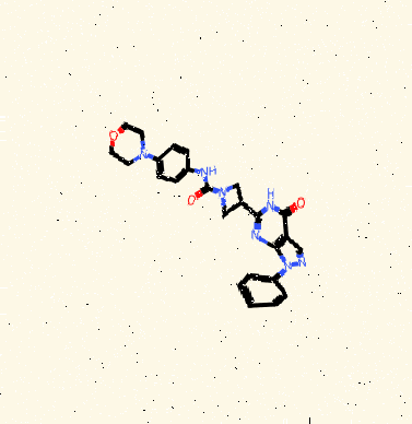 O=C(Nc1ccc(N2CCOCC2)cc1)N1CC(c2nc3c(cnn3-c3ccccc3)c(=O)[nH]2)C1